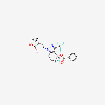 CC(CCn1nc(C(F)(F)F)c2c1CCC(F)(F)[C@H]2OC(=O)c1ccccc1)C(=O)O